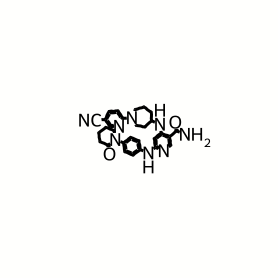 N#Cc1ccc(N2CCCC(Nc3cc(Nc4ccc(N5CCCCC5=O)cc4)ncc3C(N)=O)CC2)nc1